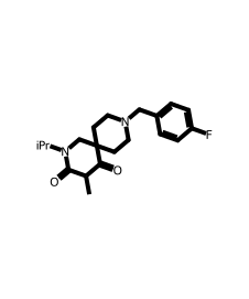 CC1C(=O)N(C(C)C)CC2(CCN(Cc3ccc(F)cc3)CC2)C1=O